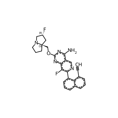 C#Cc1cccc2cccc(-c3ncc4c(N)nc(OC[C@@]56CCCN5C[C@H](F)C6)nc4c3F)c12